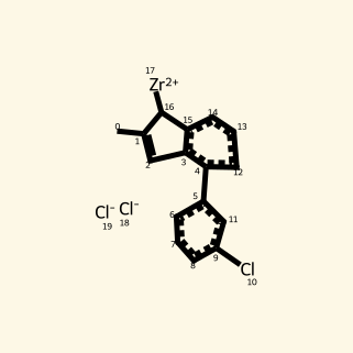 CC1=Cc2c(-c3cccc(Cl)c3)cccc2[CH]1[Zr+2].[Cl-].[Cl-]